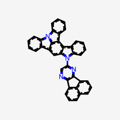 c1cc2c3c(cccc3c1)-c1nc(-n3c4ccccc4c4c5c6ccccc6n6c7ccccc7c(cc43)c56)cnc1-2